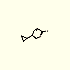 BrC1=NCC(C2CC2)N=C1